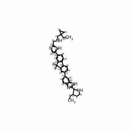 CCC1CCNC1c1nc2ccc(-c3ccc4c(c3)C(F)(F)c3cc(-c5cnc(CNCC6(CC)CC6)[nH]5)ccc3-4)cc2[nH]1